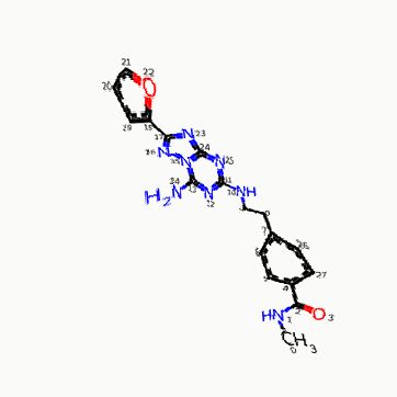 CNC(=O)c1ccc(CCNc2nc(N)n3nc(-c4ccco4)nc3n2)cc1